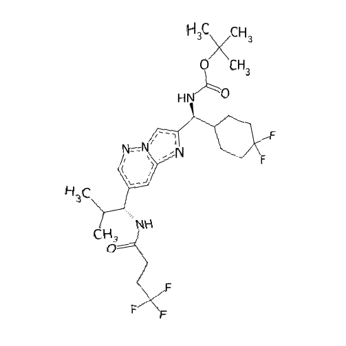 CC(C)[C@@H](NC(=O)CCC(F)(F)F)c1cnn2cc([C@@H](NC(=O)OC(C)(C)C)C3CCC(F)(F)CC3)nc2c1